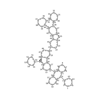 c1ccc(-c2c3ccccc3c(-c3ccc4c(c3)c3cc(-c5ccc6sc7cc8c9ccccc9c9ccccc9c8cc7c6c5)ccc3n4-c3ccccc3)c3ccccc23)cc1